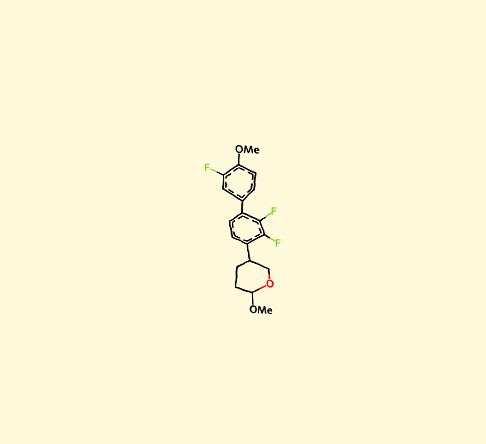 COc1ccc(-c2ccc(C3CCC(OC)OC3)c(F)c2F)cc1F